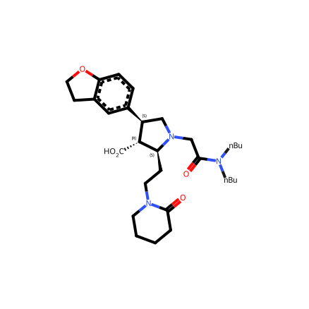 CCCCN(CCCC)C(=O)CN1C[C@H](c2ccc3c(c2)CCO3)[C@@H](C(=O)O)[C@@H]1CCN1CCCCC1=O